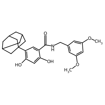 COc1cc(CNC(=O)c2cc(C34CC5CC(CC(C5)C3)C4)c(O)cc2O)cc(OC)c1